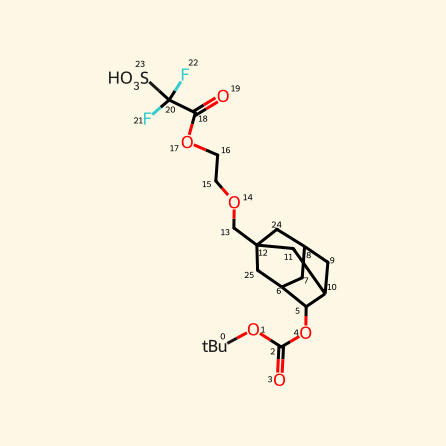 CC(C)(C)OC(=O)OC1C2CC3CC1CC(COCCOC(=O)C(F)(F)S(=O)(=O)O)(C3)C2